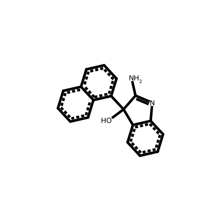 NC1=Nc2ccccc2C1(O)c1cccc2ccccc12